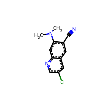 CN(C)c1cc2ncc(Cl)cc2cc1C#N